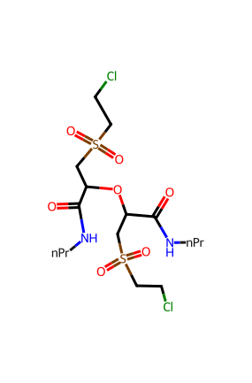 CCCNC(=O)C(CS(=O)(=O)CCCl)OC(CS(=O)(=O)CCCl)C(=O)NCCC